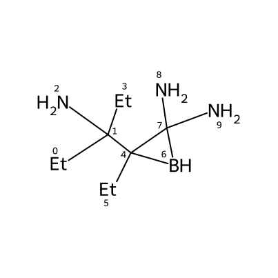 CCC(N)(CC)C1(CC)BC1(N)N